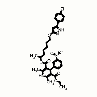 CCOC(=O)C1=C(C)NC(C)=C(C(=O)OC(C)CCCCCOc2cc(-c3ccc(Cl)cc3)[nH]n2)C1c1cccc([N+](=O)[O-])c1